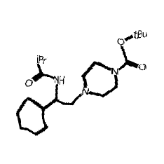 CC(C)C(=O)NC(CN1CCN(C(=O)OC(C)(C)C)CC1)C1CCCCC1